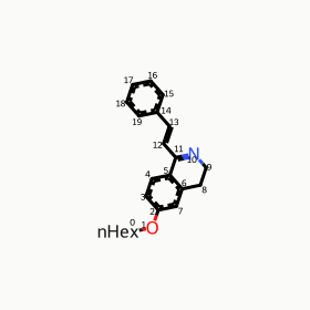 CCCCCCOc1ccc2c(c1)CCN=C2C=Cc1ccccc1